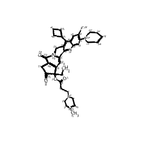 CCC1(OC(=O)CCN2CCN(C)CC2)C(=O)Cc2c1cc1n(c2=O)Cc2c-1nc1cc(N3CCCCC3)c(F)cc1c2C1CCC1